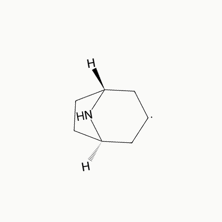 [CH]1C[C@H]2CC[C@H](C1)N2